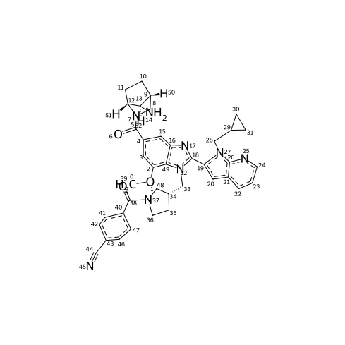 COc1cc(C(=O)N2C[C@H]3CC[C@@H]2[C@@H]3N)cc2nc(-c3cc4cccnc4n3CC3CC3)n(C[C@@H]3CCN(C(=O)c4ccc(C#N)cc4)C3)c12